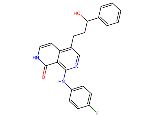 O=c1[nH]ccc2c(CCC(O)c3ccccc3)cnc(Nc3ccc(F)cc3)c12